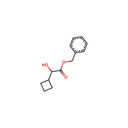 O=C(OCc1ccccc1)C(O)C1CCC1